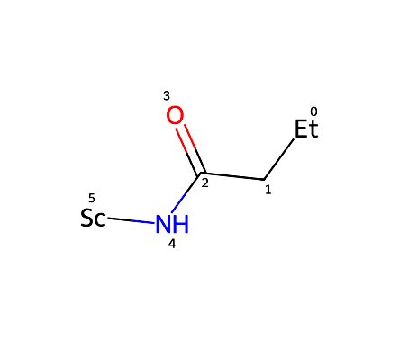 CCCC(=O)[NH][Sc]